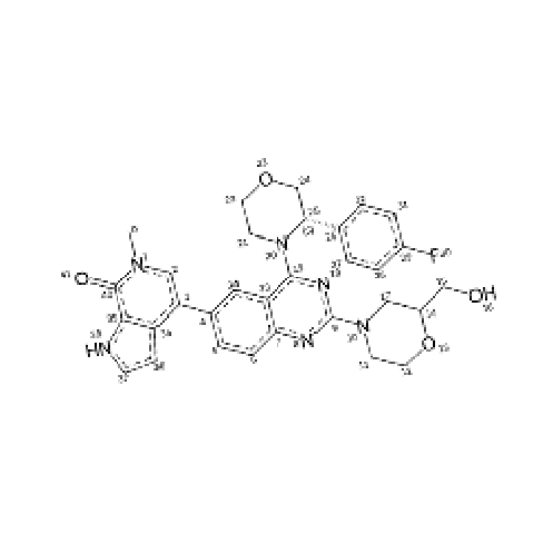 Cn1cc(-c2ccc3nc(N4CCOC(CO)C4)nc(N4CCOC[C@@H]4c4ccc(F)cc4)c3c2)c2cc[nH]c2c1=O